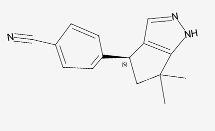 CC1(C)C[C@@H](c2ccc(C#N)cc2)c2cn[nH]c21